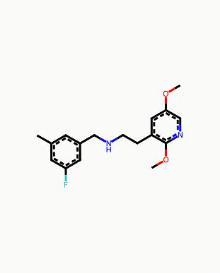 COc1cnc(OC)c(CCNCc2cc(C)cc(F)c2)c1